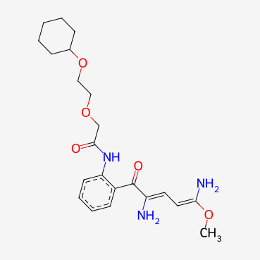 CO/C(N)=C/C=C(\N)C(=O)c1ccccc1NC(=O)COCCOC1CCCCC1